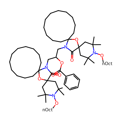 CCCCCCCCON1C(C)(C)CC2(CC1(C)C)OC1(CCCCCCCCCCC1)N(CC(CN1C(=O)C3(CC(C)(C)N(OCCCCCCCC)C(C)(C)C3)OC13CCCCCCCCCCC3)OC(=O)c1ccccc1)C2=O